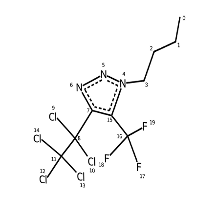 CCCCn1nnc(C(Cl)(Cl)C(Cl)(Cl)Cl)c1C(F)(F)F